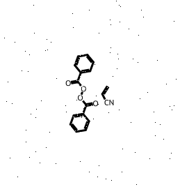 C=CC#N.O=C(OOC(=O)c1ccccc1)c1ccccc1